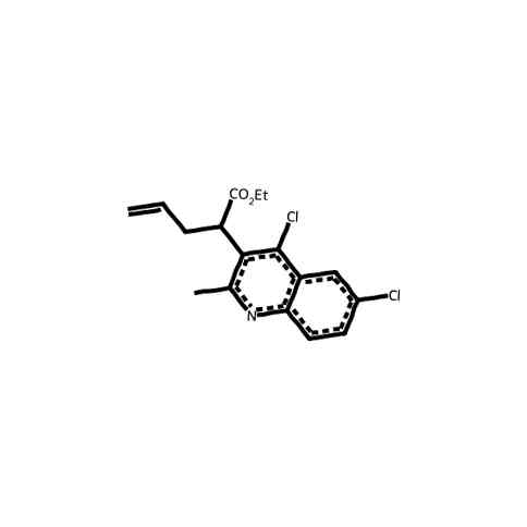 C=CCC(C(=O)OCC)c1c(C)nc2ccc(Cl)cc2c1Cl